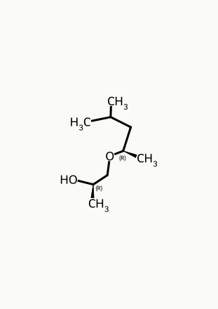 CC(C)C[C@@H](C)OC[C@@H](C)O